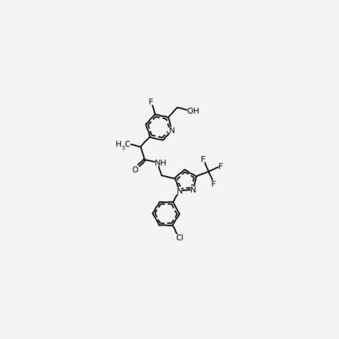 CC(C(=O)NCc1cc(C(F)(F)F)nn1-c1cccc(Cl)c1)c1cnc(CO)c(F)c1